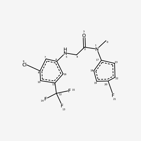 CN(C(=O)CNc1cc(Cl)cc(C(F)(F)F)c1)c1ccc(F)cc1